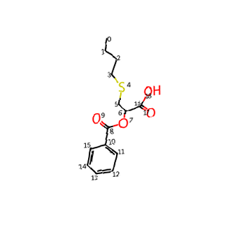 CCCCSCC(OC(=O)c1ccccc1)C(=O)O